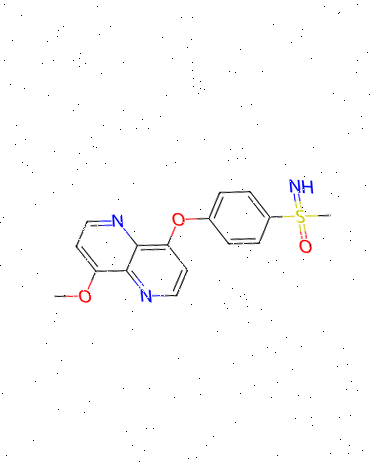 COc1ccnc2c(Oc3ccc(S(C)(=N)=O)cc3)ccnc12